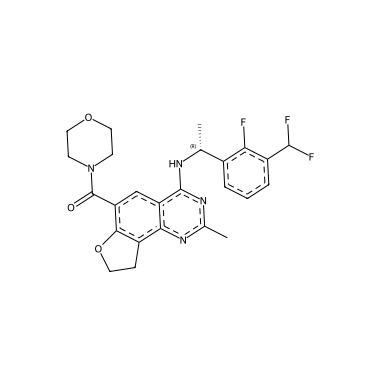 Cc1nc(N[C@H](C)c2cccc(C(F)F)c2F)c2cc(C(=O)N3CCOCC3)c3c(c2n1)CCO3